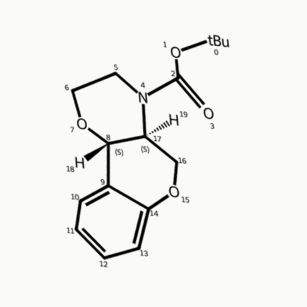 CC(C)(C)OC(=O)N1CCO[C@H]2c3ccccc3OC[C@@H]21